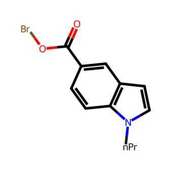 CCCn1ccc2cc(C(=O)OBr)ccc21